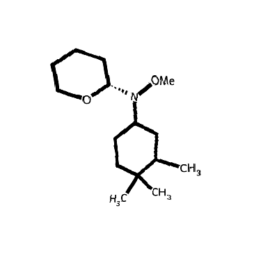 CON(C1CCC(C)(C)C(C)C1)[C@H]1CCCCO1